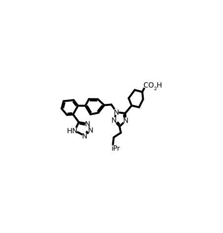 CC(C)CCc1nc(C2CCC(C(=O)O)CC2)n(Cc2ccc(-c3ccccc3-c3nnn[nH]3)cc2)n1